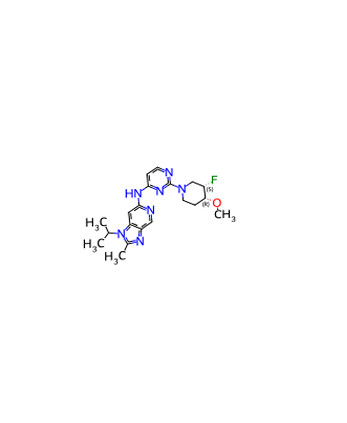 CO[C@@H]1CCN(c2nccc(Nc3cc4c(cn3)nc(C)n4C(C)C)n2)C[C@@H]1F